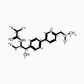 C[S+]([O-])Cc1ccc(-c2ccc([C@H](O)[C@@H](CF)NC(=O)C(F)F)cc2)cn1